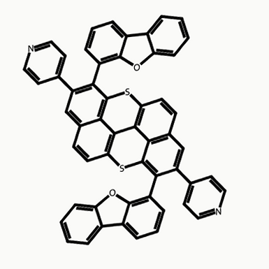 c1ccc2c(c1)oc1c(-c3c(-c4ccncc4)cc4ccc5sc6c(-c7cccc8c7oc7ccccc78)c(-c7ccncc7)cc7ccc8sc3c4c5-c8c76)cccc12